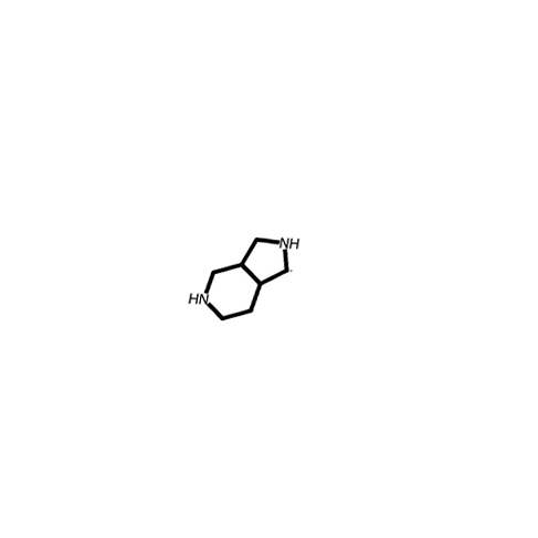 [CH]1NCC2CNCCC12